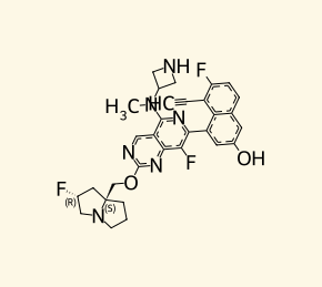 C#Cc1c(F)ccc2cc(O)cc(-c3nc(N(C)C4CNC4)c4cnc(OC[C@@]56CCCN5C[C@H](F)C6)nc4c3F)c12